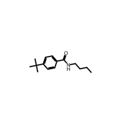 CCCCNC(=O)c1ccc(C(C)(C)C)cc1